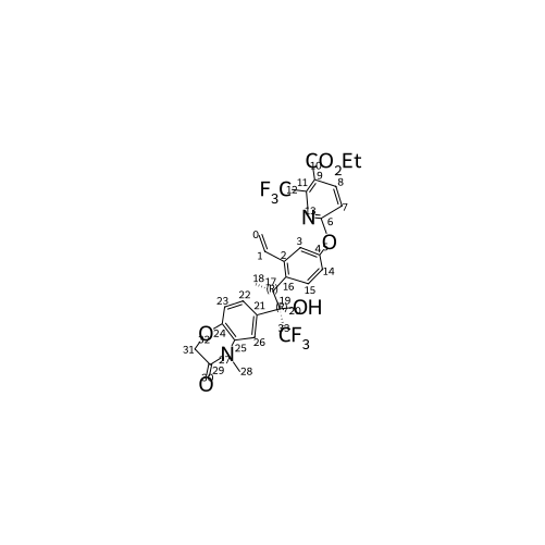 C=Cc1cc(Oc2ccc(C(=O)OCC)c(C(F)(F)F)n2)ccc1[C@@H](C)[C@@](O)(c1ccc2c(c1)N(C)C(=O)CO2)C(F)(F)F